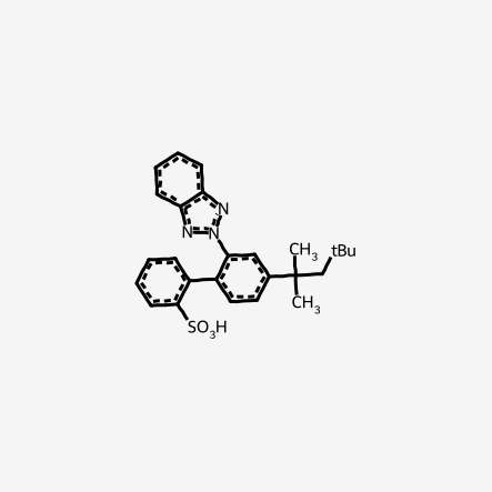 CC(C)(C)CC(C)(C)c1ccc(-c2ccccc2S(=O)(=O)O)c(-n2nc3ccccc3n2)c1